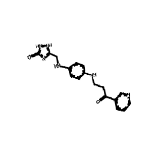 O=C(CCNc1ccc(NCc2nc(=O)[nH][nH]2)cc1)c1cccnc1